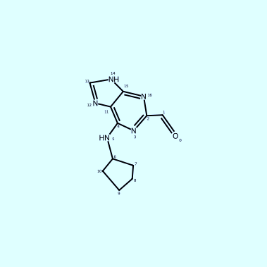 O=Cc1nc(NC2CCCC2)c2nc[nH]c2n1